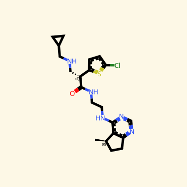 C[C@@H]1CCc2ncnc(NCCNC(=O)[C@H](CNCC3CC3)c3ccc(Cl)s3)c21